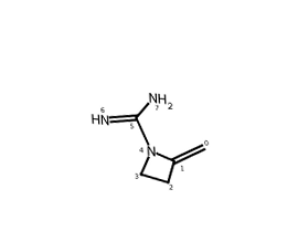 C=C1CCN1C(=N)N